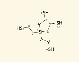 SCC[Si](CCS)(CCS)CCS